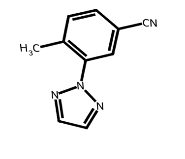 Cc1ccc(C#N)cc1-n1nccn1